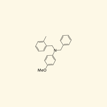 COc1ccc(N(Cc2ccccc2)Cc2ccccc2C)cc1